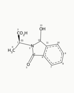 C[C@@H](C(=O)O)N1C(=O)c2ccccc2C1O